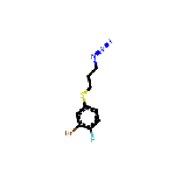 [N-]=[N+]=NCCCSc1ccc(F)c(Br)c1